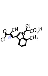 CCC(C(=O)O)n1cc(/C=C(\C#N)C(=O)Cl)c2cccc(C)c21